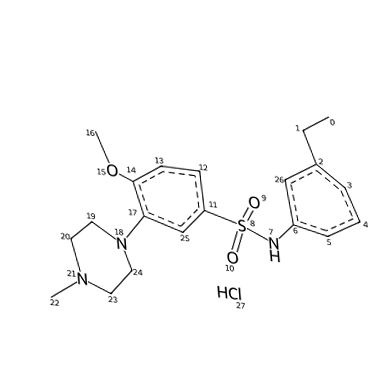 CCc1cccc(NS(=O)(=O)c2ccc(OC)c(N3CCN(C)CC3)c2)c1.Cl